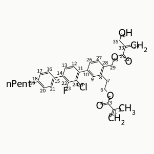 C=C(C)C(=O)OCCc1cc(-c2ccc(-c3ccc(CCCCC)cc3)c(F)c2Cl)ccc1COC(=O)C(=C)CO